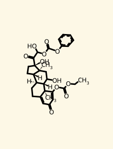 CCOC(=O)OC1=CC(=O)C=C2CC[C@@H]3[C@H](C(O)C[C@@]4(C)[C@H]3CC[C@]4(O)C(=O)C(O)OC(=O)Oc3ccccc3)[C@]21C